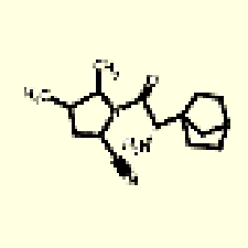 CC1CC(C#N)N(C(=O)[C@@H](N)C23CCC(CC2)C3)C1C